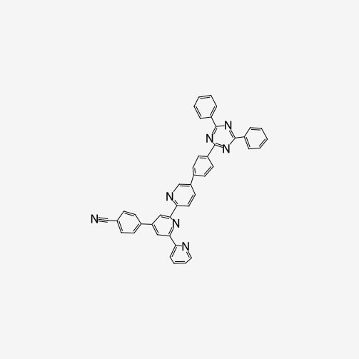 N#Cc1ccc(-c2cc(-c3ccccn3)nc(-c3ccc(-c4ccc(-c5nc(-c6ccccc6)nc(-c6ccccc6)n5)cc4)cn3)c2)cc1